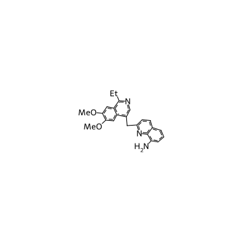 CCc1ncc(Cc2ccc3cccc(N)c3n2)c2cc(OC)c(OC)cc12